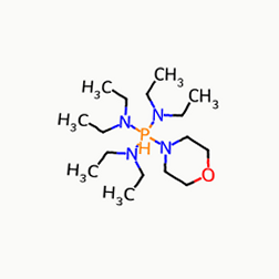 CCN(CC)[PH](N(CC)CC)(N(CC)CC)N1CCOCC1